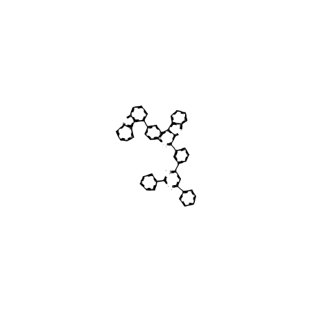 c1ccc(-c2cc(-c3cccc(-c4nc5ccc(-c6cccc7sc8ccccc8c67)cc5c5c4sc4ccccc45)c3)nc(-c3ccccc3)n2)cc1